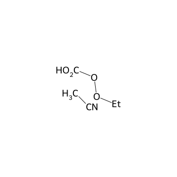 CC#N.CCOOC(=O)O